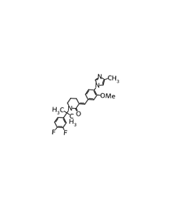 COc1cc(C=C2CCCN(C(C)(C)c3ccc(F)c(F)c3)C2=O)ccc1-n1cnc(C)c1